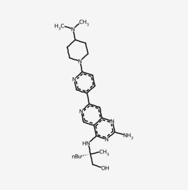 CCCC[C@](C)(CO)Nc1nc(N)nc2cc(-c3ccc(N4CCC(N(C)C)CC4)nc3)ncc12